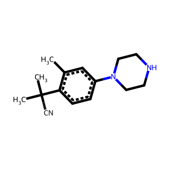 Cc1cc(N2CCNCC2)ccc1C(C)(C)C#N